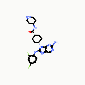 Nc1ncc2nc(Nc3ccc(F)cc3F)n([C@H]3CC[C@@H](C(=O)NC4CCNCC4)CC3)c2n1